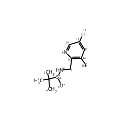 CC(C)(C)[S+]([O-])NCc1ncc(Cl)cc1F